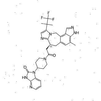 Cc1cc2c(c3cn[nH]c13)Cn1c(C(C)(C)C(F)(F)F)cnc1[C@H](CC(=O)N1CCC(n3c(=O)[nH]c4ncccc43)CC1)C2